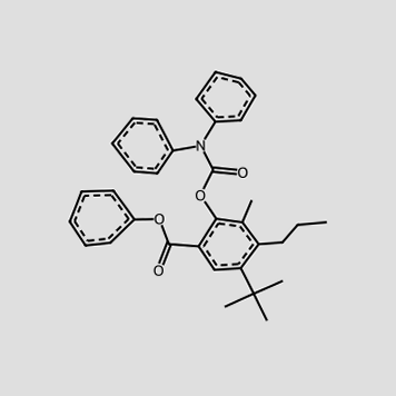 CCCc1c(C(C)(C)C)cc(C(=O)Oc2ccccc2)c(OC(=O)N(c2ccccc2)c2ccccc2)c1C